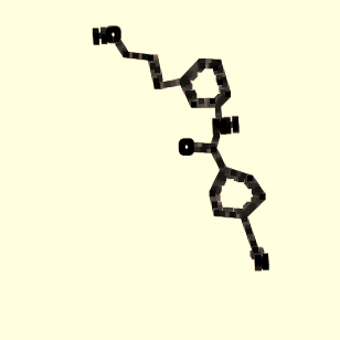 N#Cc1ccc(C(=O)Nc2cccc(/C=C/CO)c2)cc1